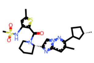 Cc1cc(NS(C)(=O)=O)c(C(=O)N2CCCC[C@H]2c2cn3nc(C4CC[C@H](C)C4)c(C)cc3n2)s1